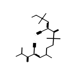 CC(/C=C(\C#N)C(=O)C(C)C)CCC(C)(C)C(=O)/C(C#N)=C/C(C)(C)CO